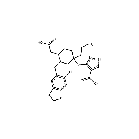 CCCC1(Sc2n[nH]cc2C(=O)O)CCC(CC(=O)O)C(Cc2cc3c(cc2Cl)OCO3)C1